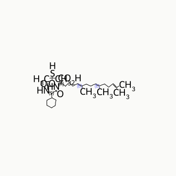 CC(C)=CCC/C(C)=C/CC/C(C)=C/CCC[C@@H](NC(=O)[C@@H](NC(=O)OC(C)(C)S)C1CCCCC1)C(=O)O